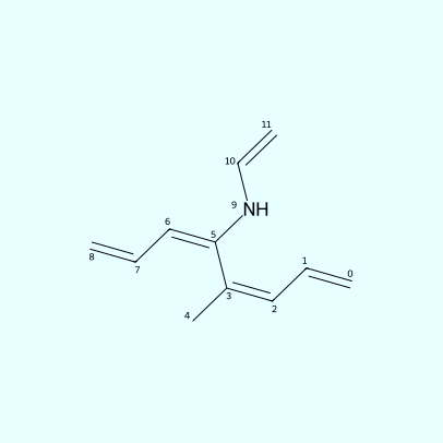 C=C/C=C(C)\C(=C/C=C)NC=C